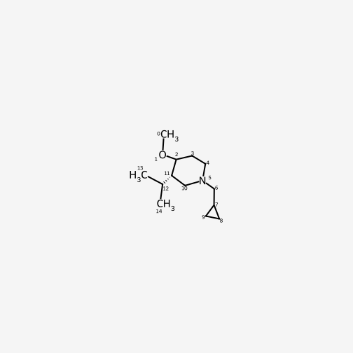 COC1CCN(CC2CC2)C[C@@H]1C(C)C